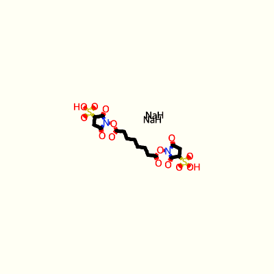 O=C(CCCCCCC(=O)ON1C(=O)CC(S(=O)(=O)O)C1=O)ON1C(=O)CC(S(=O)(=O)O)C1=O.[NaH].[NaH]